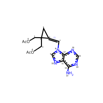 CC(=O)OCC1(COC(C)=O)C/C1=C/n1cnc2c(N)ncnc21